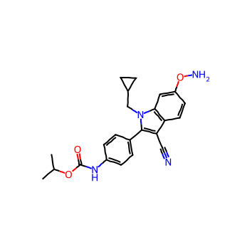 CC(C)OC(=O)Nc1ccc(-c2c(C#N)c3ccc(ON)cc3n2CC2CC2)cc1